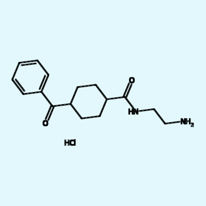 Cl.NCCNC(=O)C1CCC(C(=O)c2ccccc2)CC1